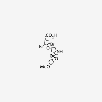 COc1ccc(S(=O)(=O)c2c[nH]c3ccc(Oc4c(Br)cc(CC(=O)O)cc4Br)cc23)cc1